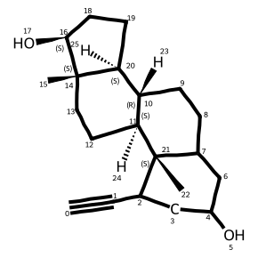 C#CC1CC(O)CC2CC[C@@H]3[C@H](CC[C@]4(C)[C@@H](O)CC[C@@H]34)[C@@]12C